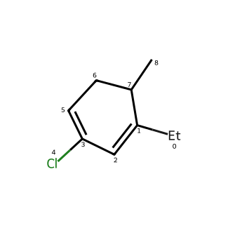 CCC1=CC(Cl)=CCC1C